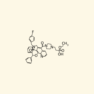 CCOP(=O)(O)CCN1CCN(C(=O)c2c3c(c(OC(c4ccccc4)c4ccccc4)c4ncccc24)C(=O)N(Cc2ccc(F)cc2)C3)CC1